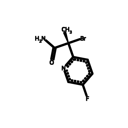 C[C@](Br)(C(N)=O)c1ccc(F)cn1